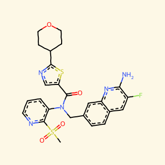 CS(=O)(=O)c1ncccc1N(Cc1ccc2cc(F)c(N)nc2c1)C(=O)c1cnc(C2CCOCC2)s1